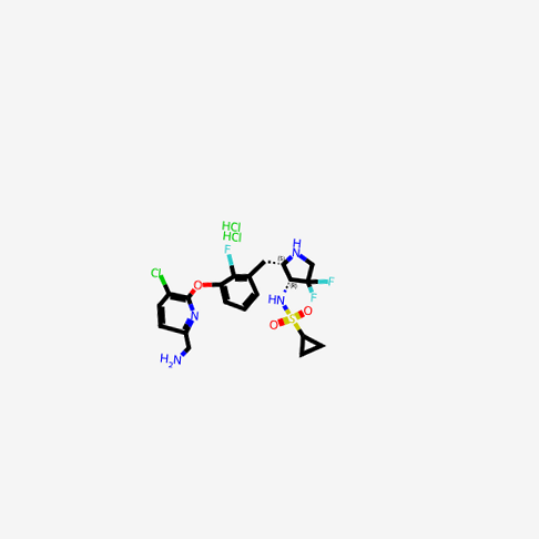 Cl.Cl.NCc1ccc(Cl)c(Oc2cccc(C[C@@H]3NCC(F)(F)[C@@H]3NS(=O)(=O)C3CC3)c2F)n1